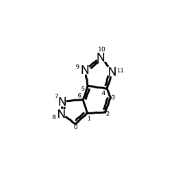 C1=c2ccc3c(c2N=N1)N=NN=3